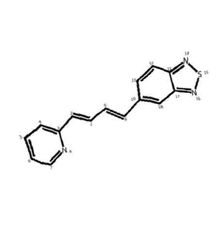 C(C=Cc1ccccn1)=Cc1ccc2nsnc2c1